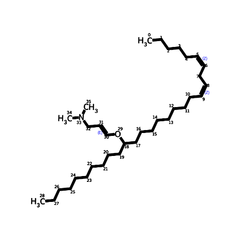 CCCCC/C=C\C/C=C\CCCCCCCCC(CCCCCCCCCC)O/C=C/CN(C)C